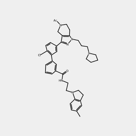 CC(=O)N1CCc2c(c(-c3ccc(Cl)c(-c4cccc(C(=O)NCCN5CCc6cc(C)ccc65)c4)c3)nn2CCCN2CCCC2)C1